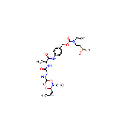 C/C=C\C(=O)N(C=O)OC(=O)NCC(=O)NC(C)C(=O)Nc1ccc(COC(=O)N(CC[S+](C)[O-])CC(C)C)cc1